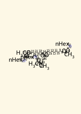 CCCCCC/C=C\COC(C)OCCCCCCCCC(CCCCCCCCOC(C)OC/C=C\CCCCCC)OC(=O)CCCN(C)C(C)OC/C=C\CCCCCC